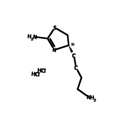 Cl.Cl.NCCCC[C@H]1CSC(N)=N1